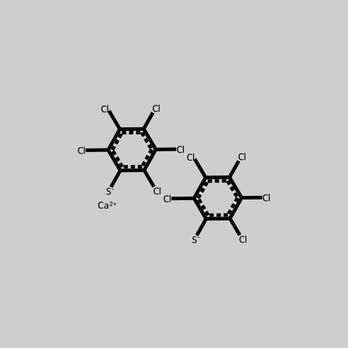 [Ca+2].[S-]c1c(Cl)c(Cl)c(Cl)c(Cl)c1Cl.[S-]c1c(Cl)c(Cl)c(Cl)c(Cl)c1Cl